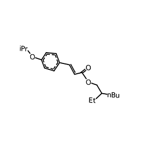 CCCCC(CC)COC(=O)/C=C/c1ccc(OC(C)C)cc1